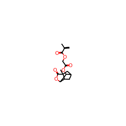 C=C(C)C(=O)OCC(=O)OC1C2CC3C1OC(=O)C3(C)C2